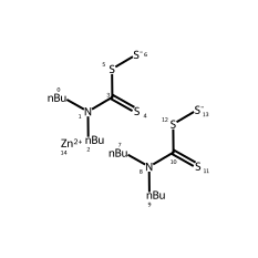 CCCCN(CCCC)C(=S)S[S-].CCCCN(CCCC)C(=S)S[S-].[Zn+2]